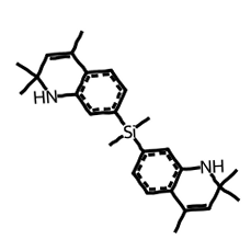 CC1=CC(C)(C)Nc2cc([Si](C)(C)c3ccc4c(c3)NC(C)(C)C=C4C)ccc21